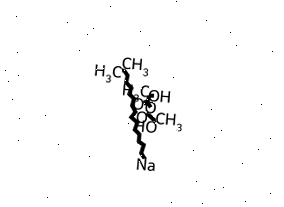 CC(C)CCCCCCCCCCCCCC[CH2][Na].CC(O)C(=O)OC(=O)C(C)O